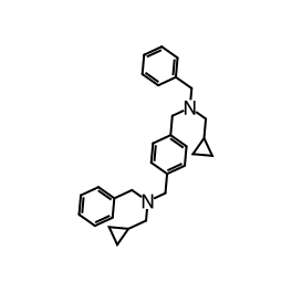 c1ccc(CN(Cc2ccc(CN(Cc3ccccc3)CC3CC3)cc2)CC2CC2)cc1